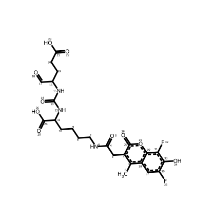 Cc1c(CC(=O)NCCCCC(NC(=O)NC(C=O)CCC(=O)O)C(=O)O)c(=O)oc2c(F)c(O)c(F)cc12